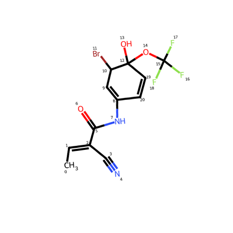 CC=C(C#N)C(=O)NC1=CC(Br)C(O)(OC(F)(F)F)C=C1